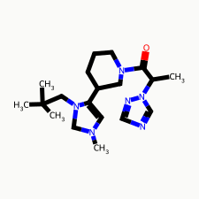 CC(C(=O)N1CCCC(C2=CN(C)CN2CC(C)(C)C)C1)n1cncn1